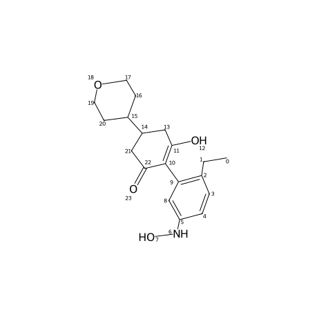 CCc1ccc(NO)cc1C1=C(O)CC(C2CCOCC2)CC1=O